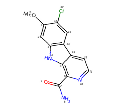 COc1[c]c2[nH]c3c(C(N)=O)nccc3c2cc1Cl